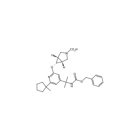 CC1(c2cc(C(C)(C)NC(=O)OCc3ccccc3)cc(O[C@@H]3[C@@H]4CN(C(=O)O)C[C@@H]43)n2)CCCC1